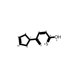 C=C(/C=C\C(O)=S)C1CC=CC1